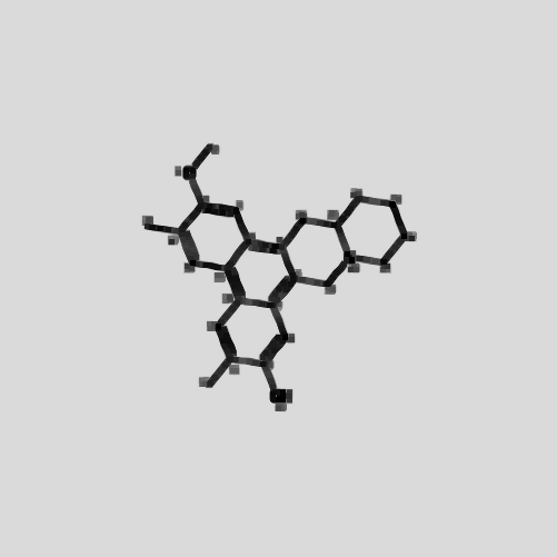 COc1cc2c3c(c4cc(O)c(C)cc4c2cc1C)CN1CCCCC1C3